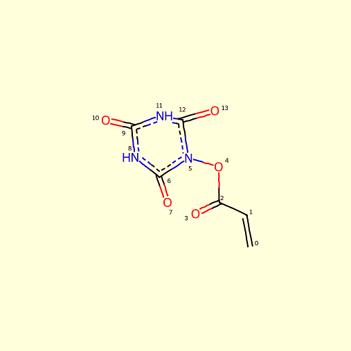 C=CC(=O)On1c(=O)[nH]c(=O)[nH]c1=O